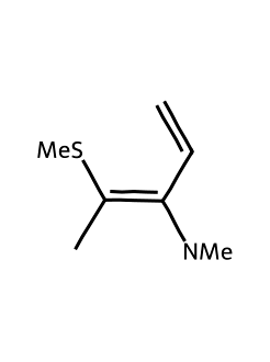 C=CC(NC)=C(C)SC